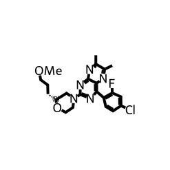 COCCC[C@@H]1CN(c2nc(-c3ccc(Cl)cc3F)c3nc(C)c(C)nc3n2)CCO1